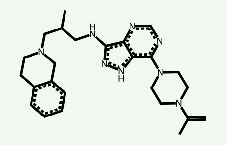 C=C(C)N1CCN(c2ncnc3c(NCC(C)CN4CCc5ccccc5C4)n[nH]c23)CC1